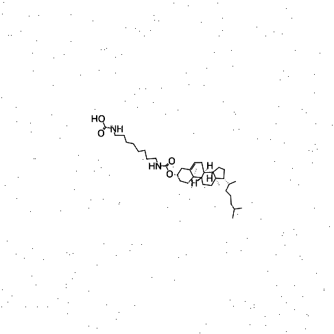 CC(C)CCCC(C)[C@H]1CC[C@H]2[C@@H]3CC=C4C[C@@H](OC(=O)NCCCCCCCCNC(=O)O)CC[C@]4(C)[C@H]3CC[C@]12C